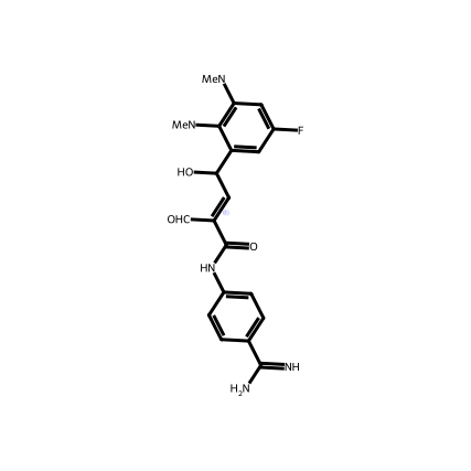 CNc1cc(F)cc(C(O)/C=C(\C=O)C(=O)Nc2ccc(C(=N)N)cc2)c1NC